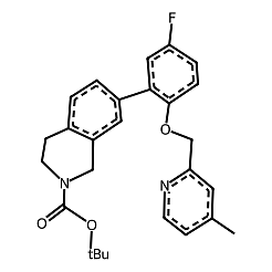 Cc1ccnc(COc2ccc(F)cc2-c2ccc3c(c2)CN(C(=O)OC(C)(C)C)CC3)c1